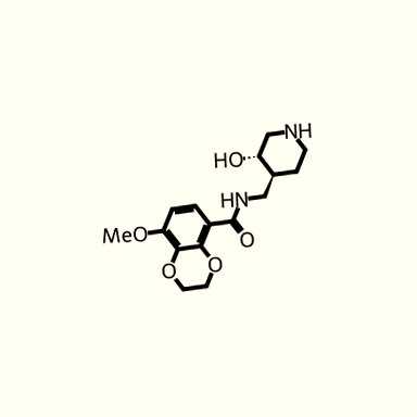 COc1ccc(C(=O)NC[C@@H]2CCNC[C@H]2O)c2c1OCCO2